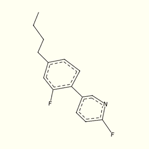 CCCCc1ccc(-c2ccc(F)nc2)c(F)c1